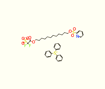 O=C(OCCCCCCCCCCCCOS(=O)(=O)c1ccccn1)C(F)(F)S(=O)(=O)[O-].c1ccc([S+](c2ccccc2)c2ccccc2)cc1